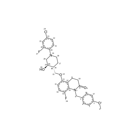 COc1ccc(CN2C(=O)CCc3c(OC[C@H]4CCN(c5ccc(Cl)cc5F)C[C@@H]4O)ccc(F)c32)cc1